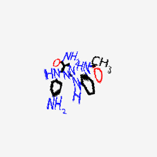 CC(=O)Nc1cccc(Nc2ncc(C(N)=O)c(Nc3ccc(N)cc3)n2)c1